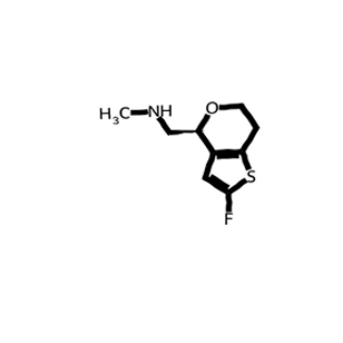 CNC[C@H]1OCCc2sc(F)cc21